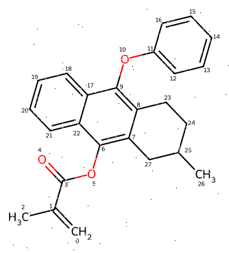 C=C(C)C(=O)Oc1c2c(c(Oc3ccccc3)c3ccccc13)CCC(C)C2